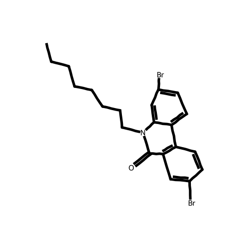 CCCCCCCCn1c(=O)c2cc(Br)ccc2c2ccc(Br)cc21